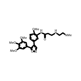 CNCCNCCC(=O)Nc1cc(-c2cnoc2-c2cc(OC)c(OC)c(OC)c2)ccc1OC